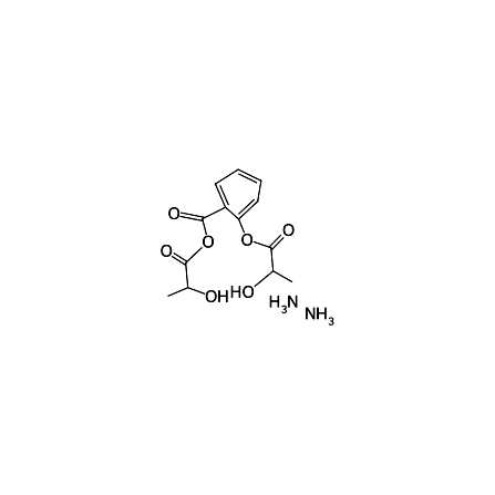 CC(O)C(=O)OC(=O)c1ccccc1OC(=O)C(C)O.N.N